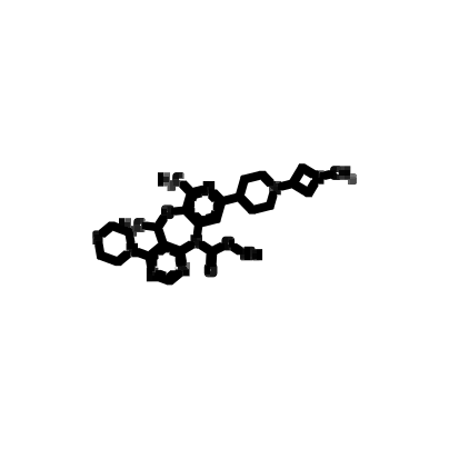 Cc1nc(C2CCN(C3CN(C)C3)CC2)cc2c1OC(C)c1c(N3CCSCC3)ncnc1N2C(=O)OC(C)(C)C